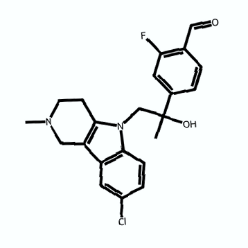 CN1CCc2c(c3cc(Cl)ccc3n2CC(C)(O)c2ccc(C=O)c(F)c2)C1